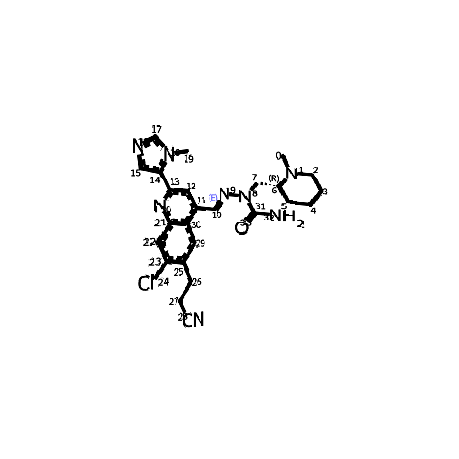 CN1CCCC[C@@H]1CN(/N=C/c1cc(-c2cncn2C)nc2cc(Cl)c(CCC#N)cc12)C(N)=O